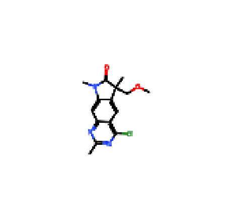 COCC1(C)C(=O)N(C)c2cc3nc(C)nc(Cl)c3cc21